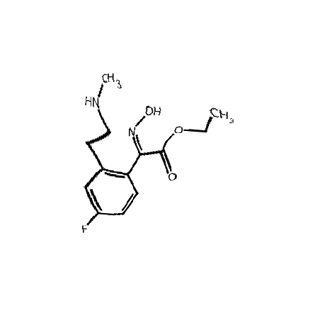 CCOC(=O)C(=NO)c1ccc(F)cc1CCNC